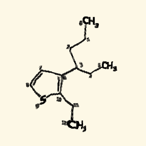 CCCC(CC)c1ccsc1CC